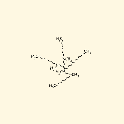 C=C(C=CC(=C)C(CCCCCCCCCCCC)=C(C=CC(=C)CCCCCCCCC)C=CC(=C)CCCCCCCCCC)CCCCCCCC